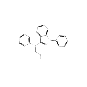 CC(=O)C[C@H](C)[C@@H](c1ccccc1)c1cn(-c2ccccc2)c2ccccc12